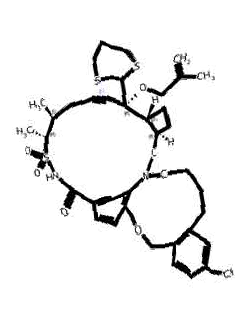 C=C(C)CO[C@@]1(C2SCCCS2)/C=C/C[C@H](C)[C@@H](C)S(=O)(=O)NC(=O)c2ccc3c(c2)N(CCCCc2cc(Cl)ccc2CO3)C[C@@H]2CC[C@H]21